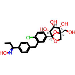 CCC(=NO)c1ccc(Cc2cc([C@]34OC[C@](CO)(O3)[C@@H](O)[C@H](O)[C@H]4O)ccc2Cl)cc1